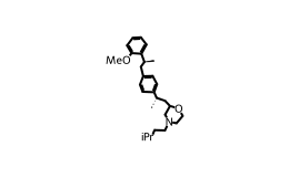 COc1ccccc1[C@@H](C)Cc1ccc([C@@H](C)CC2CN(CCC(C)C)CCO2)cc1